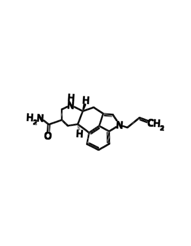 C=CCn1cc2c3c(cccc31)[C@H]1CC(C(N)=O)CN[C@@H]1C2